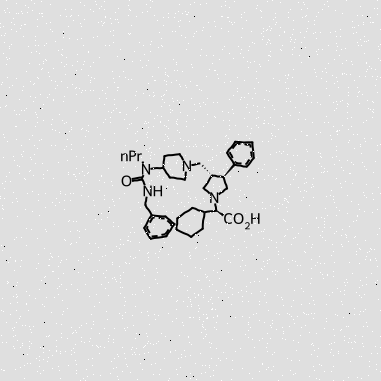 CCCN(C(=O)NCc1ccccc1)C1CCN(C[C@H]2CN([C@@H](C(=O)O)C3CCCCC3)C[C@@H]2c2ccccc2)CC1